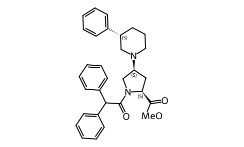 COC(=O)[C@@H]1C[C@H](N2CCC[C@@H](c3ccccc3)C2)CN1C(=O)C(c1ccccc1)c1ccccc1